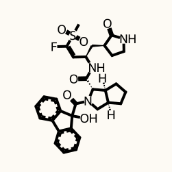 CS(=O)(=O)/C(F)=C\[C@@H](C[C@@H]1CCNC1=O)NC(=O)[C@@H]1[C@H]2CCC[C@H]2CN1C(=O)C1(O)c2ccccc2-c2ccccc21